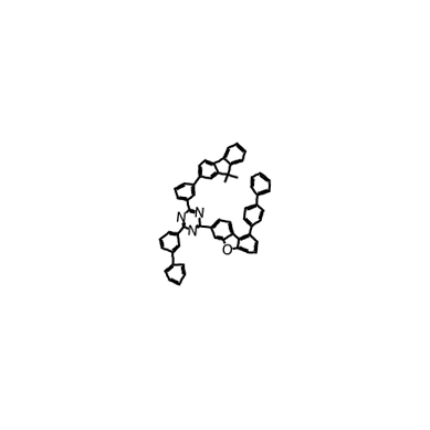 CC1(C)c2ccccc2-c2ccc(-c3cccc(-c4nc(-c5cccc(-c6ccccc6)c5)nc(-c5ccc6c(c5)oc5cccc(-c7ccc(-c8ccccc8)cc7)c56)n4)c3)cc21